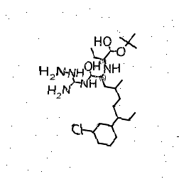 CCC(CCC(C)C[C@H](N[C@@H](CC)C(O)OC(C)(C)C)C(O)NC(N)NN)C1CCCC(Cl)C1